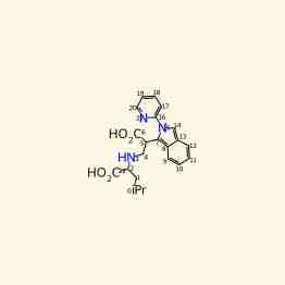 CC(C)CC(NCC(C(=O)O)c1c2ccccc2cn1-c1ccccn1)C(=O)O